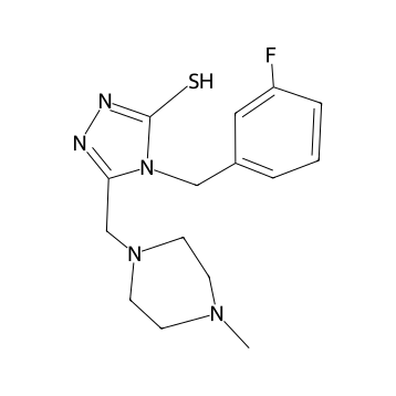 CN1CCN(Cc2nnc(S)n2Cc2cccc(F)c2)CC1